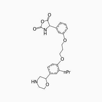 CCCc1cc(C2CNCCO2)ccc1OCCCOc1cccc(C2NC(=O)OC2=O)c1